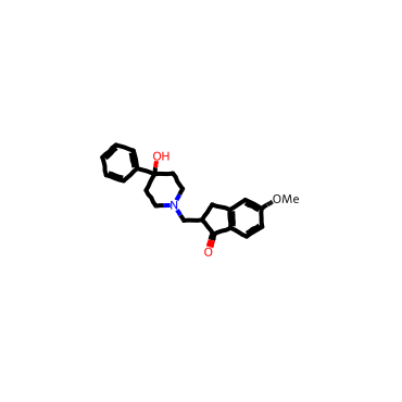 COc1ccc2c(c1)CC(CN1CCC(O)(c3ccccc3)CC1)C2=O